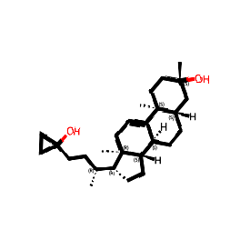 C[C@H](CCC1(O)CC1)[C@H]1CC[C@H]2[C@@H]3CC[C@H]4C[C@@](C)(O)CC[C@]4(C)C3=CC[C@]12C